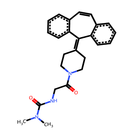 CN(C)C(=O)NCC(=O)N1CCC(=C2c3ccccc3C=Cc3ccccc32)CC1